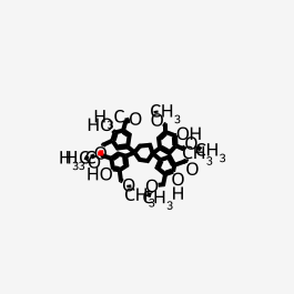 COCc1cc(C2(c3cc(COC)c(O)c(C(C)=O)c3)CCC(c3cc(COC)c(O)c(COC)c3)(c3cc(COC)c(O)c(C(C)=O)c3)CC2)cc(COC)c1O